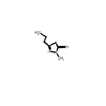 CCCC1=NN(C)C(=O)C1